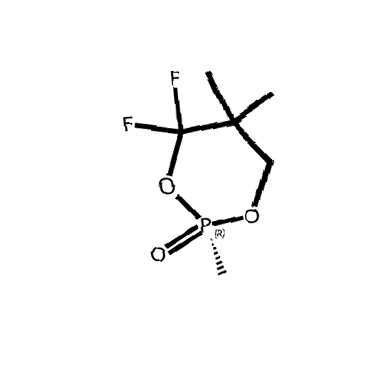 CC1(C)CO[P@@](C)(=O)OC1(F)F